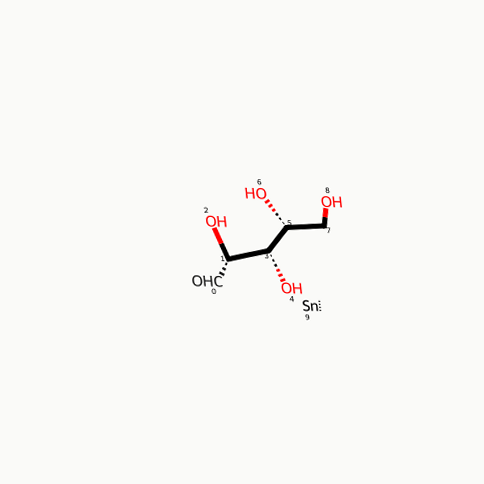 O=C[C@H](O)[C@@H](O)[C@H](O)CO.[Sn]